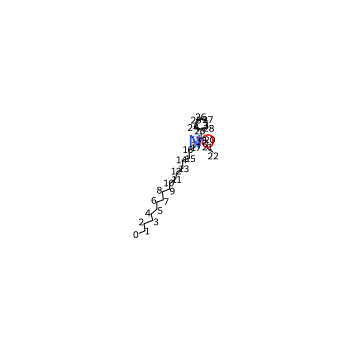 CCCCCCCCCCCCCCCCCC/N=C(\OCC)c1ccccc1